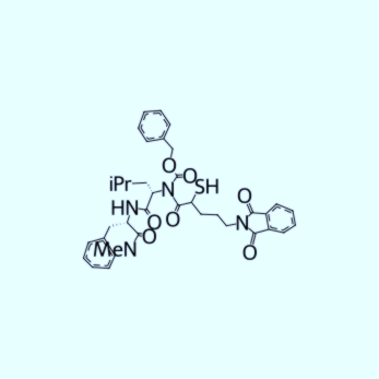 CNC(=O)[C@H](Cc1ccccc1)NC(=O)[C@H](CC(C)C)N(C(=O)OCc1ccccc1)C(=O)C(S)CCCN1C(=O)c2ccccc2C1=O